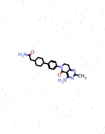 Cc1nc(N)c2c(n1)CCN(c1ccc(C3CCC(CC(N)=O)CC3)cc1)C2=O